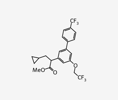 COC(=O)C(CC1CC1)c1cc(OCC(F)(F)F)cc(-c2ccc(C(F)(F)F)cc2)c1